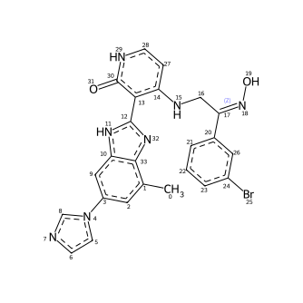 Cc1cc(-n2ccnc2)cc2[nH]c(-c3c(NC/C(=N\O)c4cccc(Br)c4)cc[nH]c3=O)nc12